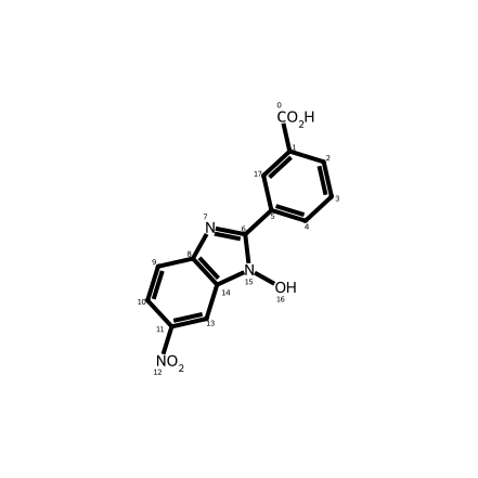 O=C(O)c1cccc(-c2nc3ccc([N+](=O)[O-])cc3n2O)c1